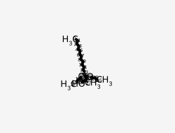 CCCCCCCCCCCCCC[C@@H](OCCCC)[C@@H](OCCCC)[C@@H](C)CO